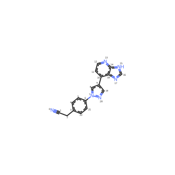 N#CCc1ccc(-n2cc(-c3ccnc4[nH]cnc34)cn2)cc1